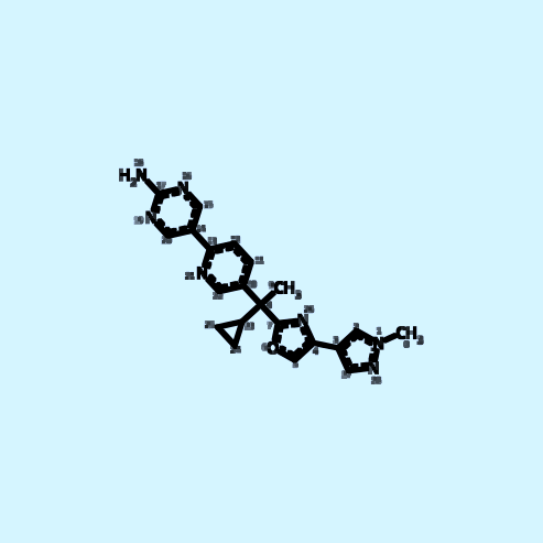 Cn1cc(-c2coc(C(C)(c3ccc(-c4cnc(N)nc4)nc3)C3CC3)n2)cn1